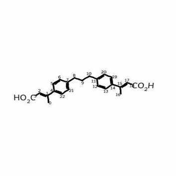 C/C(=C\C(=O)O)c1ccc(CCCc2ccc(/C(C)=C/C(=O)O)cc2)cc1